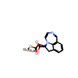 CC(C)(C)OC(=O)CC[N@@+]12C=CN=Cc3cccc(c31)CC2C(=O)OC(C)(C)C